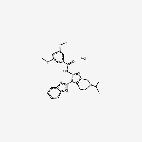 COc1cc(OC)cc(C(=O)Nc2sc3c(c2-c2nc4ccccc4s2)CCN(C(C)C)C3)c1.Cl